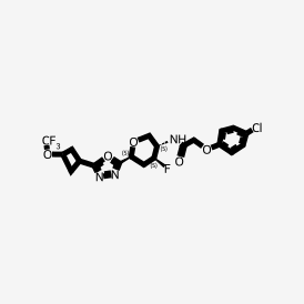 O=C(COc1ccc(Cl)cc1)N[C@H]1CO[C@H](c2nnc(C3CC(OC(F)(F)F)C3)o2)C[C@@H]1F